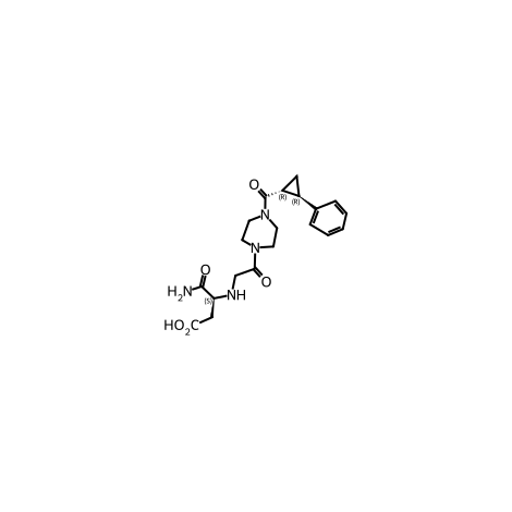 NC(=O)[C@H](CC(=O)O)NCC(=O)N1CCN(C(=O)[C@@H]2C[C@H]2c2ccccc2)CC1